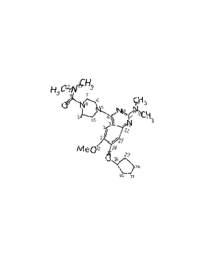 COc1cc2c(N3CCN(C(=O)N(C)C)CC3)nc(N(C)C)nc2cc1OC1CCCC1